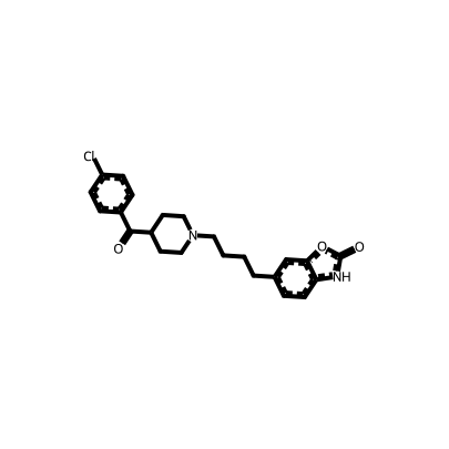 O=C(c1ccc(Cl)cc1)C1CCN(CCCCc2ccc3[nH]c(=O)oc3c2)CC1